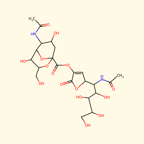 CC(=O)NC(C1C=C(OC(=O)C23CC(O)C(NC(C)=O)C(O2)C(O)C(CO)O3)C(=O)O1)C(O)C(O)C(O)CO